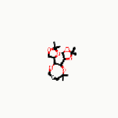 CC1(C)CCCOC(C2COC(C)(C)O2)C(C2COC(C)(C)O2)O1